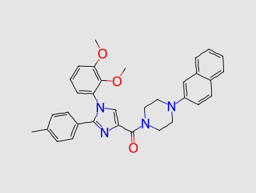 COc1cccc(-n2cc(C(=O)N3CCN(c4ccc5ccccc5c4)CC3)nc2-c2ccc(C)cc2)c1OC